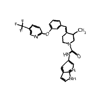 CC1CN(C(=O)Nc2cnc3[nH]ccc3c2)CCC1=Cc1cccc(Oc2ccc(C(F)(F)F)cn2)c1